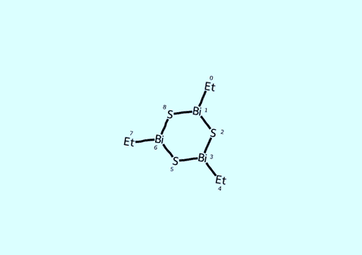 C[CH2][Bi]1[S][Bi]([CH2]C)[S][Bi]([CH2]C)[S]1